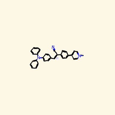 C[n+]1ccc(-c2ccc(/C(C#N)=C/c3ccc(N(c4ccccc4)c4ccccc4)cc3)cc2)cc1